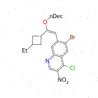 CCCCCCCCCCO/C(=C/c1cc2ncc([N+](=O)[O-])c(Cl)c2cc1Br)C1CC(CC)C1